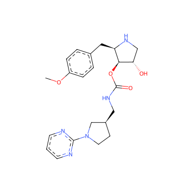 COc1ccc(C[C@H]2NC[C@H](O)[C@H]2OC(=O)NC[C@H]2CCN(c3ncccn3)C2)cc1